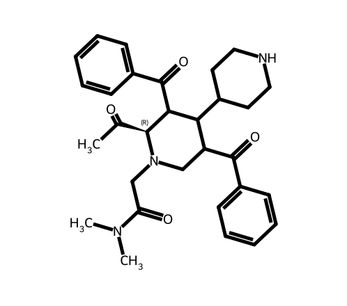 CC(=O)[C@H]1C(C(=O)c2ccccc2)C(C2CCNCC2)C(C(=O)c2ccccc2)CN1CC(=O)N(C)C